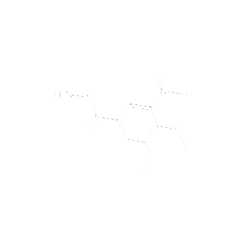 COc1cc(C(=O)NN)cc([N+](=O)[O-])c1OC